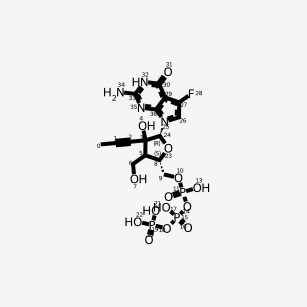 CC#CC1(O)C(CO)[C@@H](COP(=O)(O)OP(=O)(O)OP(=O)(O)O)O[C@H]1n1cc(F)c2c(=O)[nH]c(N)nc21